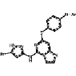 CC(=O)Nc1ccc(Sc2cc3nccn3c(Nc3cc(C(C)C)[nH]n3)n2)cc1